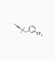 [CH2]C#CC(C)(C)Cc1cccc(C(F)(F)F)c1